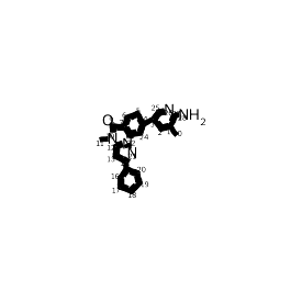 Cc1cc(-c2ccc3c(=O)n(C)c4cc(-c5ccccc5)nn4c3c2)cnc1N